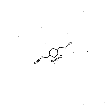 N#COCC1CCC(COC#N)CC1.N=C=O